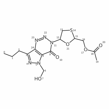 CCCc1nn(CO)c2c(=O)n(C3CSC(COC(C)=O)O3)nnc12